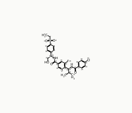 CCS(=O)(=O)c1ccc([C@H](CO)NC(=O)c2cnc([C@@H](NC(=O)c3ccc(Cl)cc3)C(C)C)c(F)c2)cc1